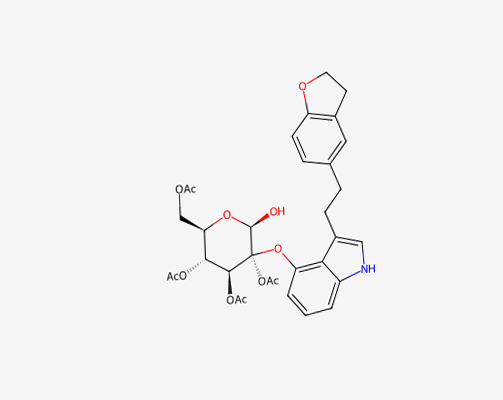 CC(=O)OC[C@H]1O[C@@H](O)[C@@](OC(C)=O)(Oc2cccc3[nH]cc(CCc4ccc5c(c4)CCO5)c23)[C@@H](OC(C)=O)[C@@H]1OC(C)=O